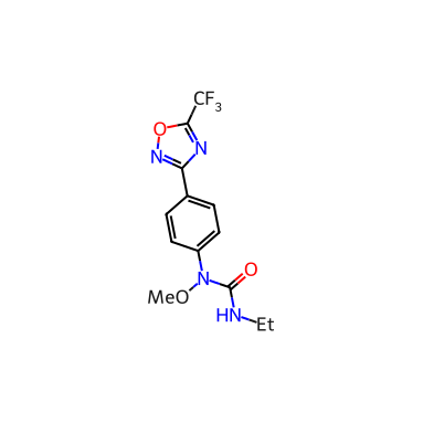 CCNC(=O)N(OC)c1ccc(-c2noc(C(F)(F)F)n2)cc1